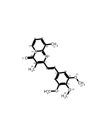 COc1cc(C=Cc2nc3c(C)cccn3c(=O)c2C)cc(OC)c1OC